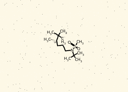 C[C@@H](CCCN(C(C)(C)C)S(C)(=O)=O)C(C)(C)C